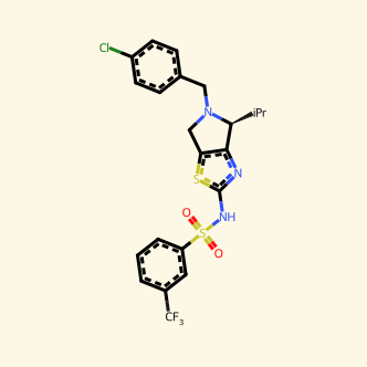 CC(C)[C@H]1c2nc(NS(=O)(=O)c3cccc(C(F)(F)F)c3)sc2CN1Cc1ccc(Cl)cc1